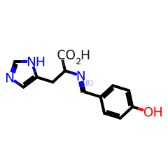 O=C(O)C(Cc1cnc[nH]1)/N=C/c1ccc(O)cc1